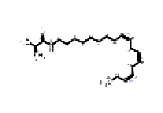 C=C(C)C(=O)NCCCCCCCC/C=C\C/C=C\C/C=C\CC